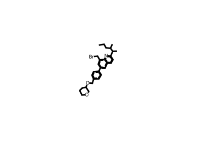 CCCC(C)C(C)c1ccc2cc(-c3ccc(COC4CCCOC4)cc3)cc(CBr)c2n1